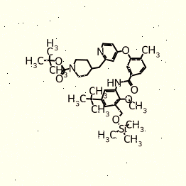 COc1c(CO[Si](C)(C)C)cc(C(C)(C)C)cc1NC(=O)c1ccc(C)c(Oc2ccnc(CC3CCN(C(=O)OC(C)(C)C)CC3)c2)c1